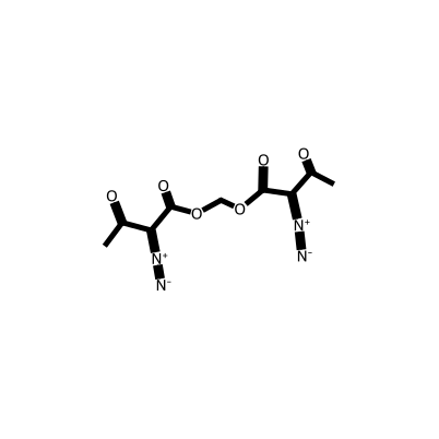 CC(=O)C(=[N+]=[N-])C(=O)OCOC(=O)C(=[N+]=[N-])C(C)=O